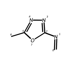 C=Nc1nnc(C)o1